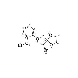 CCOc1ccccc1OCC1(CBr)OCCO1